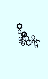 CCNC(=O)N1CCC[C@@H](NS(C)(=O)=O)[C@H]1Cc1ccc(Oc2ccccc2)cc1